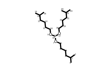 CC(C)CCCCOP(OCCCCC(C)C)OCCCCC(C)C